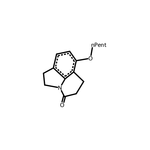 CCCCCOc1ccc2c3c1CCC(=O)N3CC2